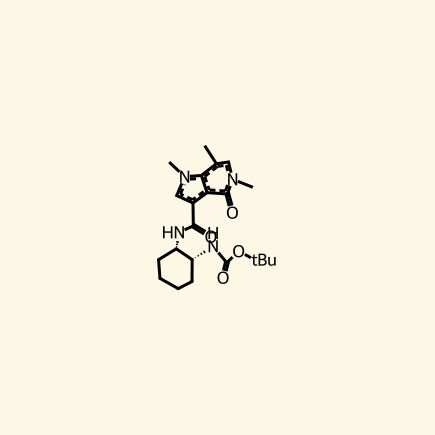 Cc1cn(C)c(=O)c2c(C(=O)N[C@H]3CCCC[C@H]3NC(=O)OC(C)(C)C)cn(C)c12